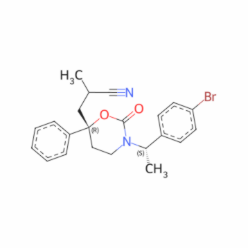 CC(C#N)C[C@]1(c2ccccc2)CCN([C@@H](C)c2ccc(Br)cc2)C(=O)O1